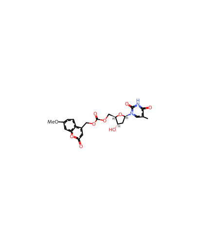 COc1ccc2c(COC(=O)OC[C@H]3O[C@@H](n4cc(C)c(=O)[nH]c4=O)C[C@@H]3O)cc(=O)oc2c1